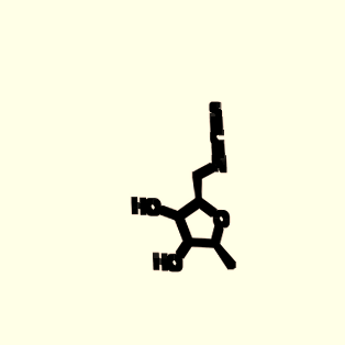 C[C@@H]1O[C@H](CN=C=S)C(O)C1O